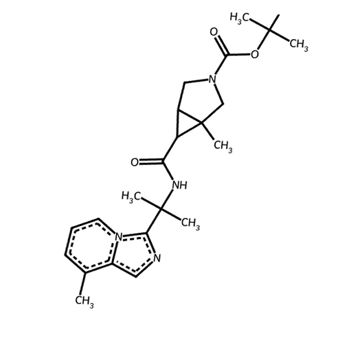 Cc1cccn2c(C(C)(C)NC(=O)C3C4CN(C(=O)OC(C)(C)C)CC43C)ncc12